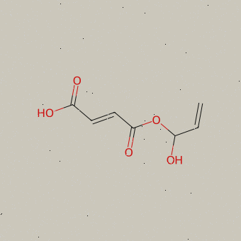 C=CC(O)OC(=O)C=CC(=O)O